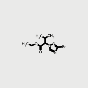 CCOC(=O)C(C(C)C)n1cnc(Br)n1